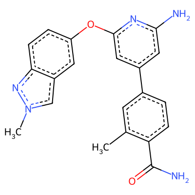 Cc1cc(-c2cc(N)nc(Oc3ccc4nn(C)cc4c3)c2)ccc1C(N)=O